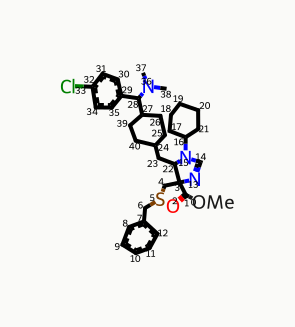 COC(=O)C1(CSCc2ccccc2)N=CN(C2CCCCC2)C1CC1CCC(C(c2ccc(Cl)cc2)N(C)C)CC1